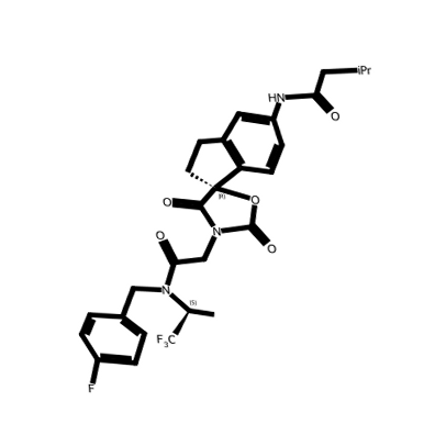 CC(C)CC(=O)Nc1ccc2c(c1)CC[C@@]21OC(=O)N(CC(=O)N(Cc2ccc(F)cc2)[C@@H](C)C(F)(F)F)C1=O